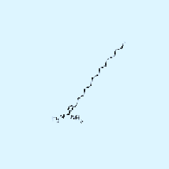 CCCCCCCCCCCCCCOC(N)N